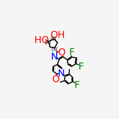 Cc1cc(F)cc(C)c1-n1cc(-c2nc([C@@H]3C[C@@H](O)[C@@H](O)C3)oc2-c2ccc(F)cc2F)ccc1=O